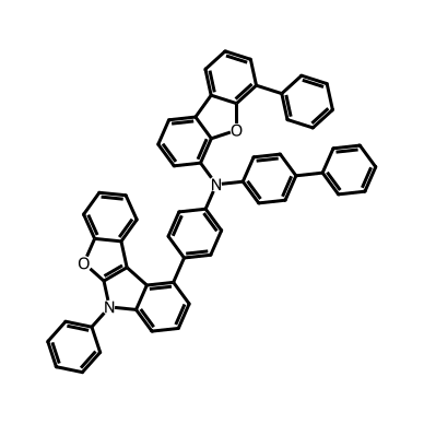 c1ccc(-c2ccc(N(c3ccc(-c4cccc5c4c4c6ccccc6oc4n5-c4ccccc4)cc3)c3cccc4c3oc3c(-c5ccccc5)cccc34)cc2)cc1